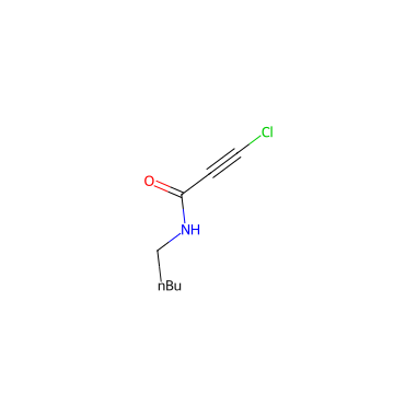 CCCCCNC(=O)C#CCl